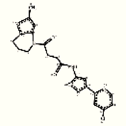 Cc1cc2n(n1)CCCN2C(=O)CCC(=O)Nc1cc(-c2cc(Cl)ccn2)no1